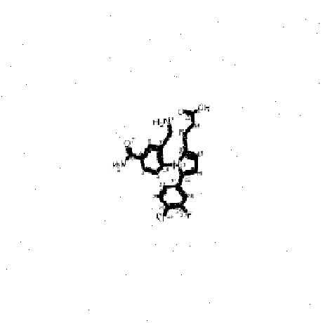 NCc1cc(C(N)=O)ccc1-n1c(CCC(=O)O)ccc1-c1ccc(Cl)c(F)c1